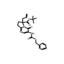 C=CCC1(C(=O)OC(C)(C)C)CCc2ncc(NC(=O)OCc3ccccc3)c(=O)n21